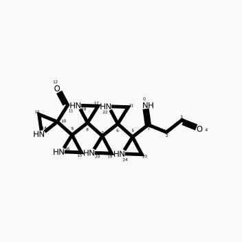 N=C(C[C]=O)C1(C2(C3(C4(C5(C6([C]=O)CN6)CN5)CN4)CN3)CN2)CN1